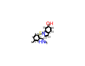 CNCc1cc(C)ccc1Sn1ccc2ccc(O)cc21